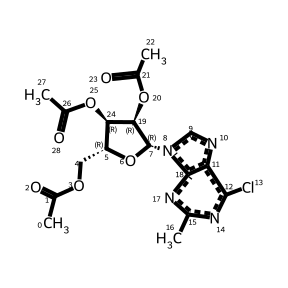 CC(=O)OC[C@H]1O[C@@H](n2cnc3c(Cl)nc(C)nc32)[C@H](OC(C)=O)[C@@H]1OC(C)=O